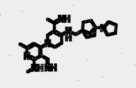 CNc1nc(C)cc(N2CCC(NCC34CCC(N5CCCC5)(CC3)C4)=C(C(C)=N)C2)c1C=N